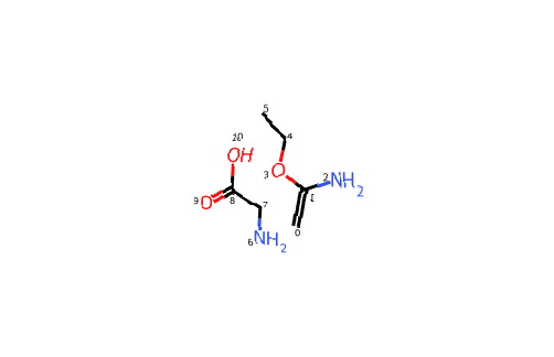 C=C(N)OCC.NCC(=O)O